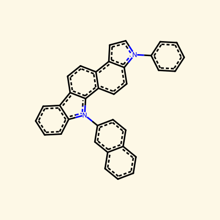 c1ccc(-n2ccc3c4ccc5c6ccccc6n(-c6ccc7ccccc7c6)c5c4ccc32)cc1